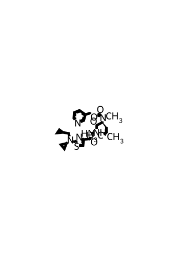 CC(C)C[C@@H](C(=O)NNC(=O)c1csc(N(CC2CC2)C2CC2)n1)N(C)C(=O)OCc1cccnc1